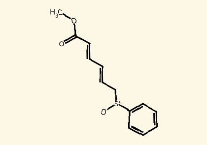 COC(=O)/C=C/C=C/C[S+]([O-])c1ccccc1